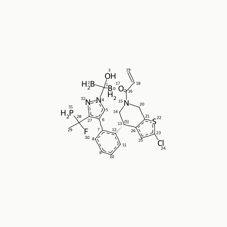 BC(B)(O)n1cc(-c2ccccc2[C@@H]2CN(C(=O)C=C)Cc3sc(Cl)cc32)c(C(C)(F)P)n1